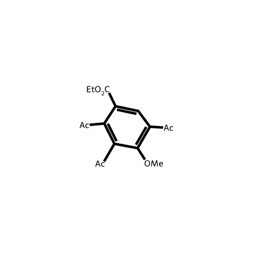 CCOC(=O)c1cc(C(C)=O)c(OC)c(C(C)=O)c1C(C)=O